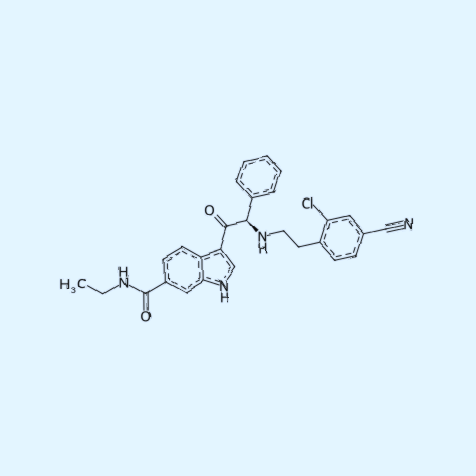 CCNC(=O)c1ccc2c(C(=O)[C@H](NCCc3ccc(C#N)cc3Cl)c3ccccc3)c[nH]c2c1